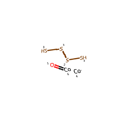 SSSS.[Co].[O]=[Co]